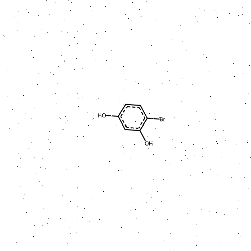 Oc1[c]cc(Br)c(O)c1